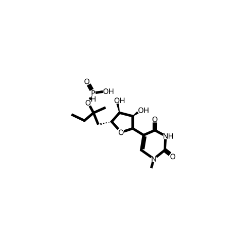 CCC(C)(C[C@H]1OC(c2cn(C)c(=O)[nH]c2=O)[C@H](O)[C@@H]1O)O[PH](=O)O